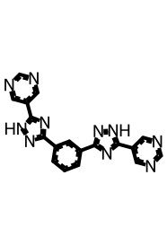 c1cc(-c2n[nH]c(-c3cncnc3)n2)cc(-c2n[nH]c(-c3cncnc3)n2)c1